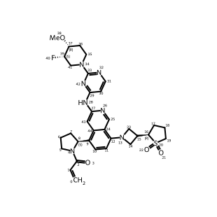 C=CC(=O)N1CCC[C@H]1c1ccc(N2CC([C@H]3CCCS3(=O)=O)C2)c2cnc(Nc3ccnc(N4CC[C@@H](OC)[C@@H](F)C4)n3)cc12